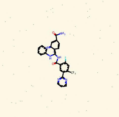 N=C1C=C(C(N)=O)C=C/C1=C(\NC(=O)c1cc(-c2ncccn2)c(C(F)(F)F)cc1F)Nc1ccccc1